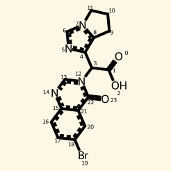 O=C(O)C(c1ncn2c1CCC2)n1cnc2ccc(Br)cc2c1=O